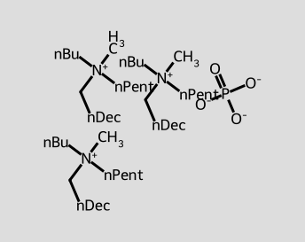 CCCCCCCCCCC[N+](C)(CCCC)CCCCC.CCCCCCCCCCC[N+](C)(CCCC)CCCCC.CCCCCCCCCCC[N+](C)(CCCC)CCCCC.O=P([O-])([O-])[O-]